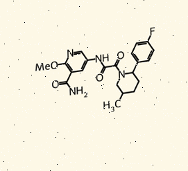 COc1ncc(NC(=O)C(=O)N2CC(C)CCC2c2ccc(F)cc2)cc1C(N)=O